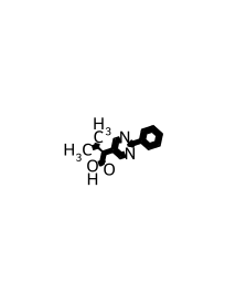 CC(C)[C@H](C(=O)O)c1cnc(-c2ccccc2)nc1